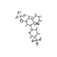 FC(F)(F)Oc1cc(-c2ccc(C(F)(F)F)cc2)c2ncccc2c1